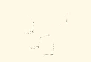 CCC(=O)C1C(=O)CCCC1=O.O=C(O)O